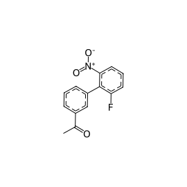 CC(=O)c1cccc(-c2c(F)cccc2[N+](=O)[O-])c1